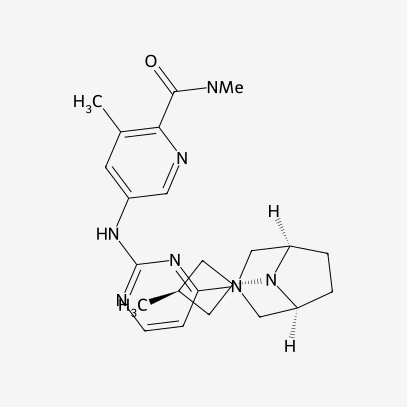 CNC(=O)c1ncc(Nc2nccc(N3C[C@H]4CC[C@@H](C3)N4[C@H]3C[C@H](C)C3)n2)cc1C